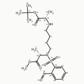 COC(=O)[C@H](C)N(CCCCN[C@@H](C)C(=O)OC(C)(C)C)S(=O)(=O)c1ccccc1N=O